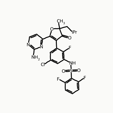 CC(C)CC1(C)OC(c2ccnc(N)n2)=C(c2cc(Cl)cc(NS(=O)(=O)c3c(F)cccc3F)c2F)C1=O